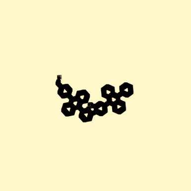 FCc1ccc(-c2c3ccccc3c(-c3cccc4c3oc3cc(-c5c6ccccc6c(-c6ccccc6)c6ccccc56)ccc34)c3ccccc23)cc1